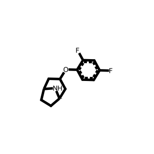 Fc1ccc(OC2C[C]3CCC(C2)N3)c(F)c1